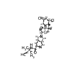 C#CC(C)(C)NC(=O)c1cc2c(cn1)CN(C1=NOC(c3cc(Cl)cc(Cl)c3)(C(F)(F)F)C1)C2